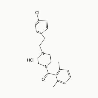 Cc1cccc(C)c1C(=O)N1CCN(CCc2ccc(Cl)cc2)CC1.Cl